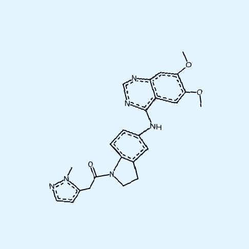 COc1cc2ncnc(Nc3ccc4c(c3)CCN4C(=O)Cc3ccnn3C)c2cc1OC